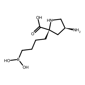 N[C@@H]1CN[C@@](CCCCB(O)O)(C(=O)O)C1